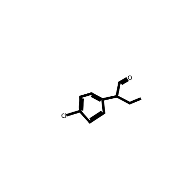 CCC(C=O)c1ccc(Cl)cc1